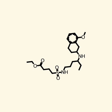 CCOC(=O)CCCS(=O)(=O)NCCCC(CC)NC1CCc2cccc(OC)c2C1